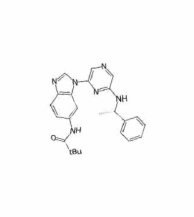 C[C@H](Nc1cncc(-n2cnc3ccc(NC(=O)C(C)(C)C)cc32)n1)c1ccccc1